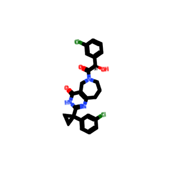 O=C([C@H](O)c1cccc(Cl)c1)N1CCCc2nc(C3(c4cccc(Cl)c4)CC3)[nH]c(=O)c2C1